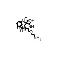 CC1NC(COCCN)C(C)(C(=O)O)[C@@H](c2ccccc2Cl)C1(C)C(=O)O